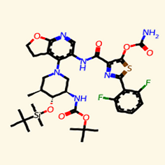 C[C@H]1CN(c2c(NC(=O)c3nc(-c4c(F)cccc4F)sc3OC(N)=O)cnc3c2CCO3)C[C@@H](NC(=O)OC(C)(C)C)[C@@H]1O[Si](C)(C)C(C)(C)C